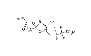 C=CC(=O)OC(OCCC(F)(F)C(F)(F)S(=O)(=O)O)(C(=O)NCCC)C(F)(F)F